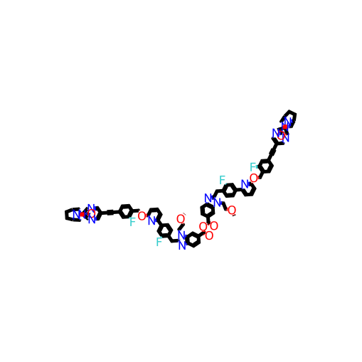 COCCn1c(Cc2ccc(-c3cccc(OCc4ccc(C#Cc5cnc(N6CC7CCC(C6)N7C6COC6)nc5)cc4F)n3)cc2F)nc2ccc(C(=O)OC(=O)c3ccc4nc(Cc5ccc(-c6cccc(OCc7ccc(C#Cc8cnc(N9CC%10CCC(C9)N%10C9COC9)nc8)cc7F)n6)cc5F)n(CCOC)c4c3)cc21